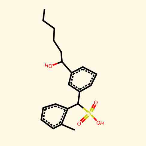 CCCCCC(O)c1cccc(C(c2ccccc2C)S(=O)(=O)O)c1